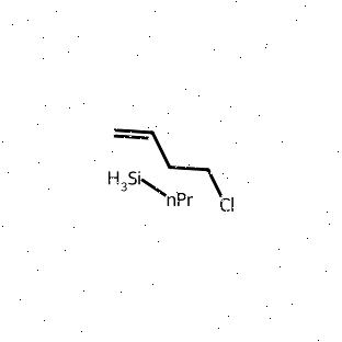 C=CCCCl.CCC[SiH3]